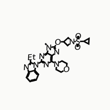 CCc1nc2ccccc2n1-c1nc(N2CCOCC2)c2nc(OC3CN(S(=O)(=O)C4CC4)C3)n(C)c2n1